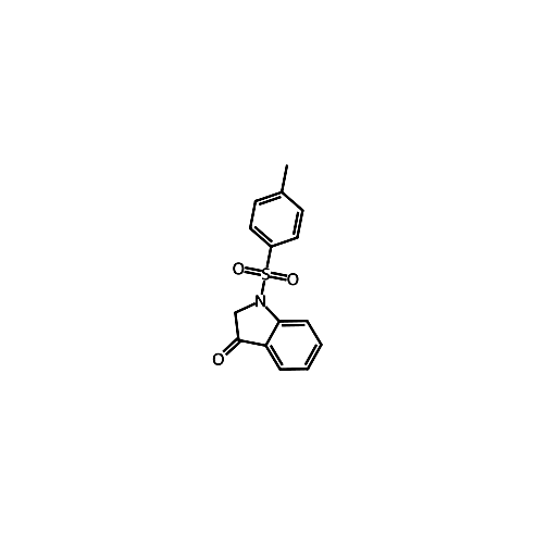 Cc1ccc(S(=O)(=O)N2CC(=O)c3ccccc32)cc1